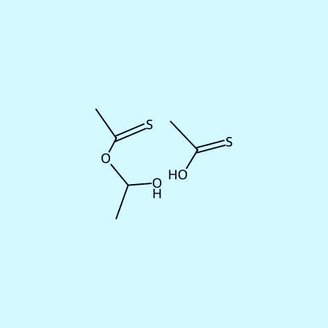 CC(=S)OC(C)O.CC(O)=S